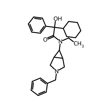 CCN(C(=O)C(O)(c1ccccc1)C1CCCCC1)C1C2CN(Cc3ccccc3)CC21